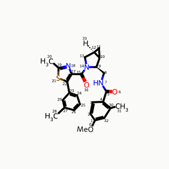 COc1ccc(C(=O)NC[C@@H]2C3C[C@@H]3CN2C(=O)c2nc(C)sc2-c2cccc(C)c2)c(C)c1